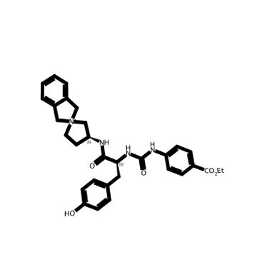 CCOC(=O)c1ccc(NC(=O)N[C@@H](Cc2ccc(O)cc2)C(=O)N[C@H]2CC[N+]3(Cc4ccccc4C3)C2)cc1